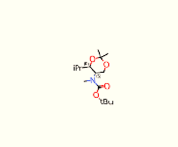 CC(C)[C@H]1OC(C)(C)OC[C@@H]1N(C)C(=O)OC(C)(C)C